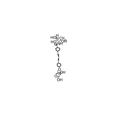 C[C@@H](O)[C@H](NC(=O)c1ccc(C#CC#Cc2ccc(OCC3=COC(O)=CN3O)cc2)cc1)C(O)NO